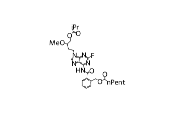 CCCCCC(=O)OCc1ccccc1C(=O)Nc1nc(F)nc2c1ncn2CCC(COC(=O)C(C)C)OC